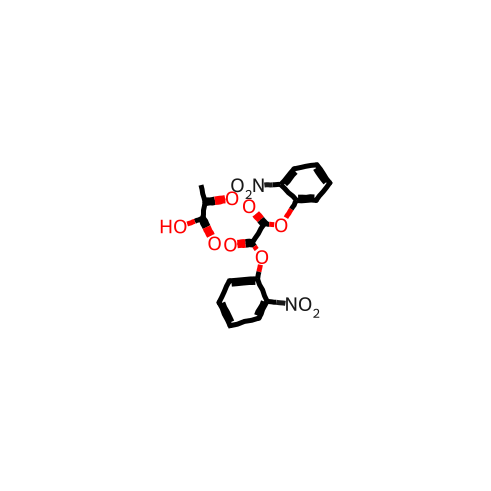 CC(=O)C(=O)O.O=C(Oc1ccccc1[N+](=O)[O-])C(=O)Oc1ccccc1[N+](=O)[O-]